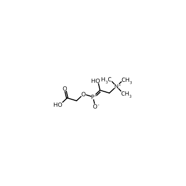 C[N+](C)(C)C/C(O)=[P+](\[O-])OCC(=O)O